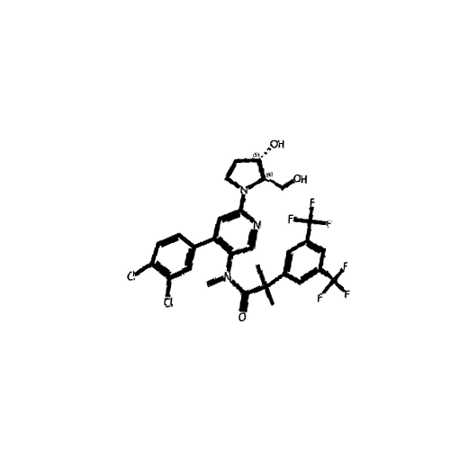 CN(C(=O)C(C)(C)c1cc(C(F)(F)F)cc(C(F)(F)F)c1)c1cnc(N2CC[C@H](O)[C@H]2CO)cc1-c1ccc(Cl)c(Cl)c1